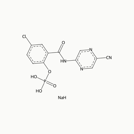 N#Cc1cnc(NC(=O)c2cc(Cl)ccc2OP(=O)(O)O)cn1.[NaH]